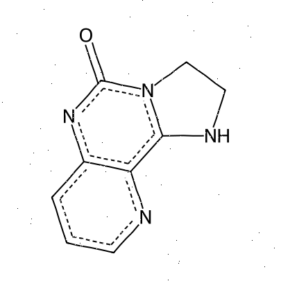 O=c1nc2cccnc2c2n1CCN2